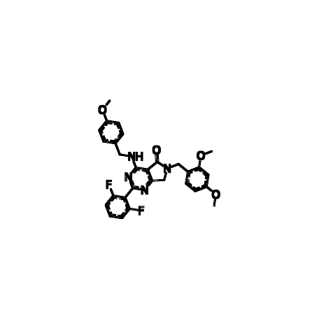 COc1ccc(CNc2nc(-c3c(F)cccc3F)nc3c2C(=O)N(Cc2ccc(OC)cc2OC)C3)cc1